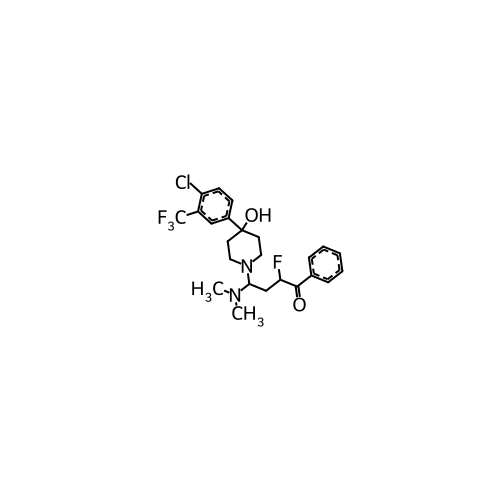 CN(C)C(CC(F)C(=O)c1ccccc1)N1CCC(O)(c2ccc(Cl)c(C(F)(F)F)c2)CC1